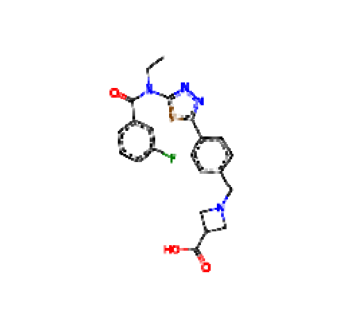 CCN(C(=O)c1cccc(F)c1)c1nnc(-c2ccc(CN3CC(C(=O)O)C3)cc2)s1